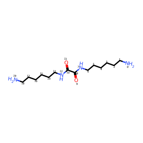 NCCCCCCNC(=O)C(=O)NCCCCCCN